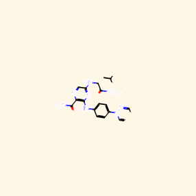 C=CN(/N=C\C)c1ccc(Nc2nc(N[C@H](CC(C)C)C(N)=O)cnc2C(N)=O)cc1